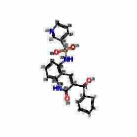 O=C(c1ccccc1)c1cc2c(NS(=O)(=O)c3cccnc3)cccc2[nH]c1=O